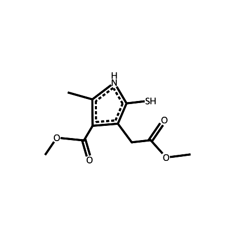 COC(=O)Cc1c(S)[nH]c(C)c1C(=O)OC